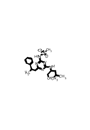 CC(C)CC(CO)Nc1nc(CC(C)c2ccccc2)nc(NS(C)(=O)=O)n1